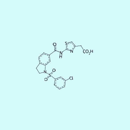 O=C(O)Cc1csc(NC(=O)c2ccc3c(c2)N(S(=O)(=O)c2cccc(Cl)c2)CC3)n1